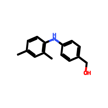 Cc1ccc(Nc2ccc(CO)cc2)c(C)c1